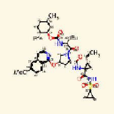 C=C[C@@H]1C[C@]1(NC(=O)[C@@H]1C[C@@H](Oc2nccc3cc(OC)ccc23)CN1C(=O)[C@@H](NC(=O)O[C@@H]1C[C@H](C)CC[C@H]1C(C)C)C(C)(C)C)C(=O)NS(=O)(=O)C1CC1